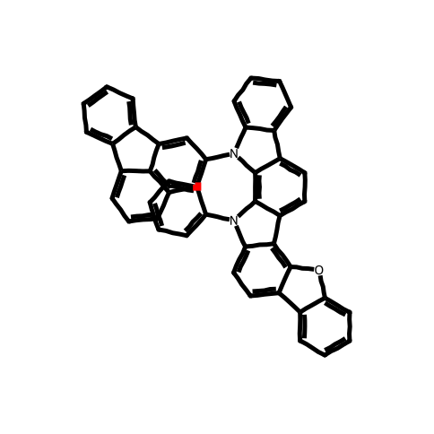 c1ccc(-n2c3ccc4c5ccccc5oc4c3c3ccc4c5ccccc5n(-c5cc6c7c(cccc7c5)-c5ccccc5-6)c4c32)cc1